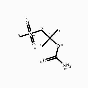 CC(C)(CS(C)(=O)=O)OC(N)=O